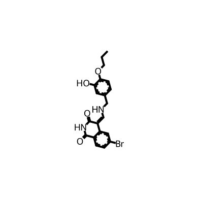 CCCOc1ccc(CN/C=C2\C(=O)NC(=O)c3ccc(Br)cc32)cc1O